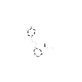 COC(=O)c1ccccc1NCc1ccc(F)cc1